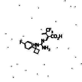 C=C(/C(=C\N=C(/N)NC1(c2ccc(F)cc2)CCC1)C(=O)O)C(F)(F)F